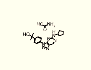 CC(C)(O)c1ccc(-n2nnc3cnc(NC4CCCC4)nc32)cc1.NC(=O)O